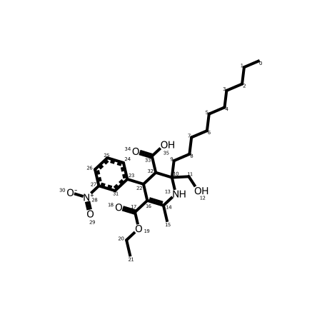 CCCCCCCCCCC1(CO)NC(C)=C(C(=O)OCC)C(c2cccc([N+](=O)[O-])c2)C1C(=O)O